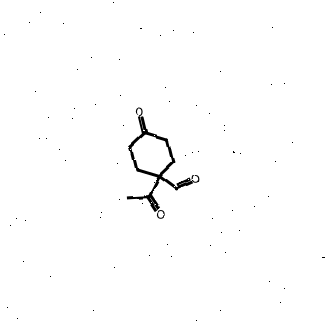 CC(=O)C1(C=O)CCC(=O)CC1